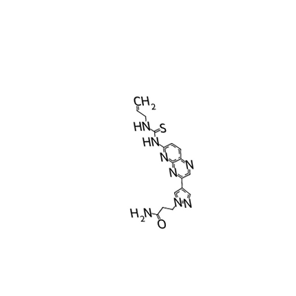 C=CCNC(=S)Nc1ccc2ncc(-c3cnn(CCC(N)=O)c3)nc2n1